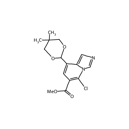 COC(=O)c1cc(C2OCC(C)(C)CO2)c2cncn2c1Cl